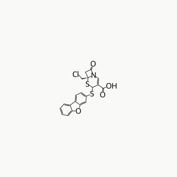 O=C(O)C1=CN2C(=O)C[C@@]2(CCl)SC1Sc1ccc2c(c1)oc1ccccc12